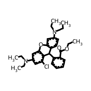 CCOC(=O)c1ccccc1C1c2ccc(N(CC)CC)cc2Oc2cc(N(CC)CC)cc(Cl)c21